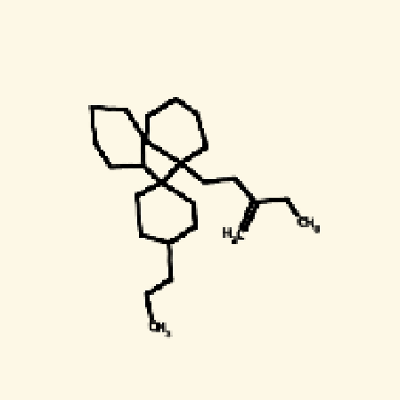 C=C(CC)CCC1(C2(C3CCCCC3)CCC(CCC)CC2)CCCCC1